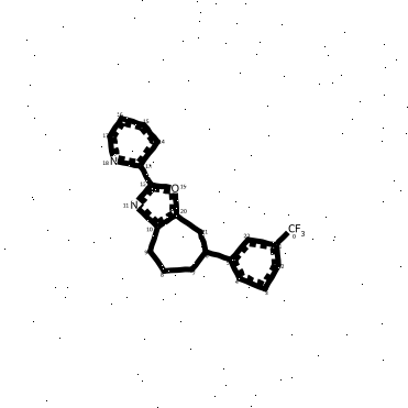 FC(F)(F)c1cccc(C2CCCc3nc(-c4ccccn4)oc3C2)c1